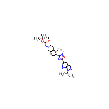 Cc1c(-c2noc(-c3cnc4c(cnn4C(C)C)c3)n2)ccc2c1CCN(CC(=O)OC(C)(C)C)C2